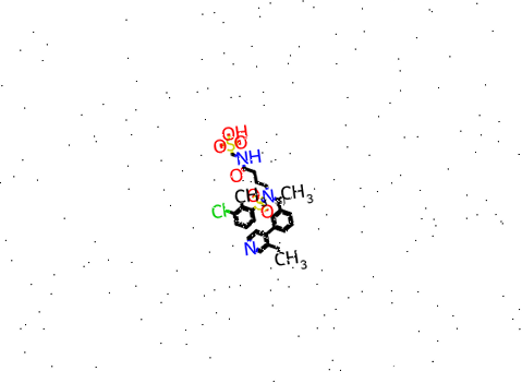 CCc1cnccc1-c1cccc([C@H](C)N(CCCC(=O)NCS(=O)(=O)O)S(=O)(=O)c2cccc(Cl)c2C)c1